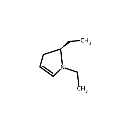 CC[C@@H]1CC=CN1CC